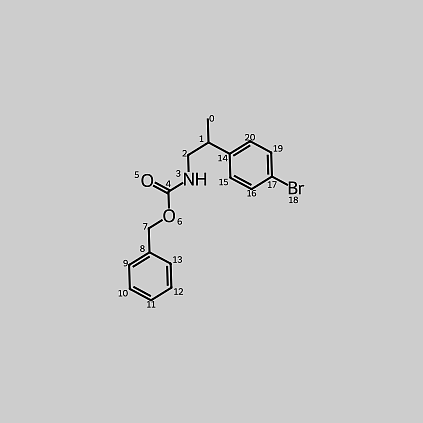 CC(CNC(=O)OCc1ccccc1)c1ccc(Br)cc1